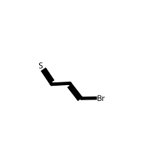 S=CC=CBr